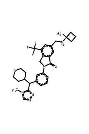 Cn1cnnc1C(c1cccc(N2Cc3c(cc(CNC4(C)CCC4)cc3C(F)(F)F)C2=O)c1)C1CCOCC1